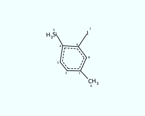 Cc1ccc([SiH3])c(I)c1